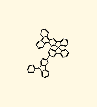 C1=Cc2c(c3ccccc3c3cc4c(cc23)-c2ccccc2C42c3ccccc3-c3cc(C4=CC=C5C(C4)c4ccccc4N5c4ccccc4)ccc32)CC1